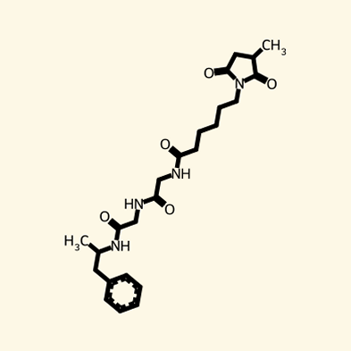 CC(Cc1ccccc1)NC(=O)CNC(=O)CNC(=O)CCCCCN1C(=O)CC(C)C1=O